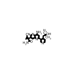 CC(C)(O)Cc1ccncc1-c1cc(N)c2ncc(C3(C(N)=O)CC3C#N)cc2n1